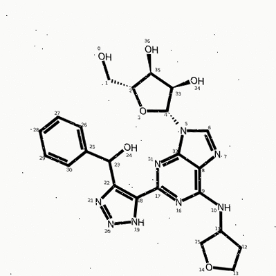 OC[C@H]1O[C@@H](n2cnc3c(NC4CCOC4)nc(-c4[nH]nnc4C(O)c4ccccc4)nc32)[C@H](O)[C@@H]1O